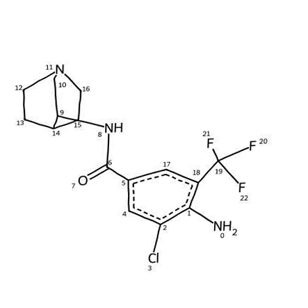 Nc1c(Cl)cc(C(=O)NC2CN3CCC2CC3)cc1C(F)(F)F